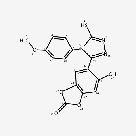 COc1ccc(-n2c(S)nnc2-c2cc3oc(=O)oc3cc2O)cc1